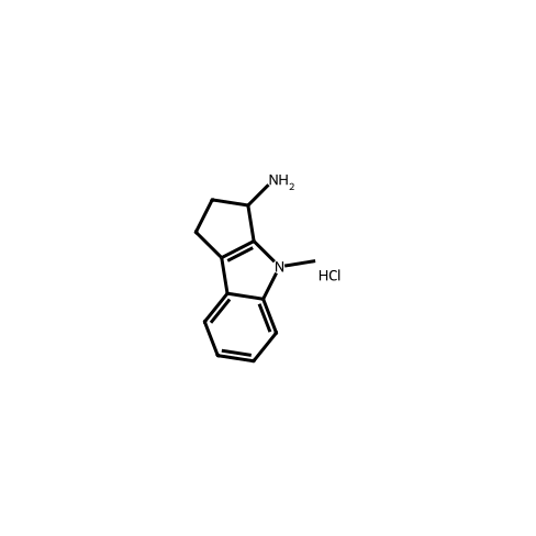 Cl.Cn1c2c(c3ccccc31)CCC2N